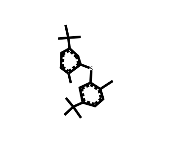 Cc1ccc(C(C)(C)C)cc1Sc1cc(C(C)(C)C)ccc1C